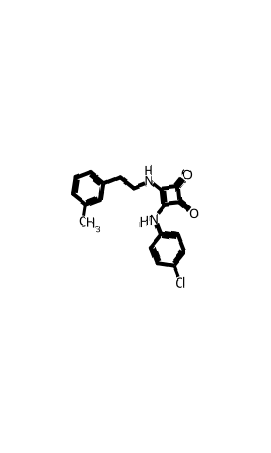 Cc1cccc(CCNc2c(Nc3ccc(Cl)cc3)c(=O)c2=O)c1